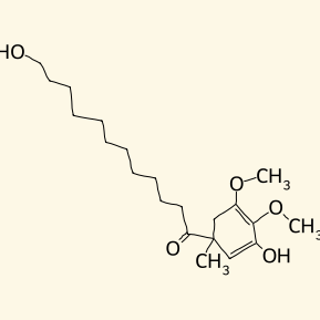 COC1=C(OC)C(O)=CC(C)(C(=O)CCCCCCCCCCCO)C1